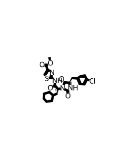 COC(=O)c1csc(NC(=O)[C@H](CC2CCCCC2)N2C(=O)N[C@H](Cc3ccc(Cl)cc3)C2=O)n1